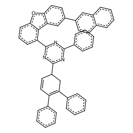 C1=CC(c2nc(-c3ccccc3)nc(-c3cccc4oc5ccc(-c6ccc7ccccc7c6)cc5c34)n2)CC(c2ccccc2)=C1c1ccccc1